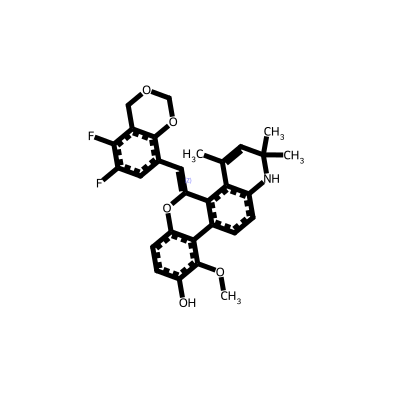 COc1c(O)ccc2c1-c1ccc3c(c1/C(=C/c1cc(F)c(F)c4c1OCOC4)O2)C(C)=CC(C)(C)N3